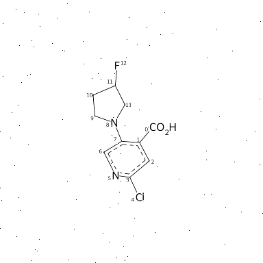 O=C(O)c1cc(Cl)ncc1N1CCC(F)C1